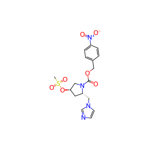 CS(=O)(=O)O[C@@H]1C[C@@H](Cn2ccnc2)N(C(=O)OCc2ccc([N+](=O)[O-])cc2)C1